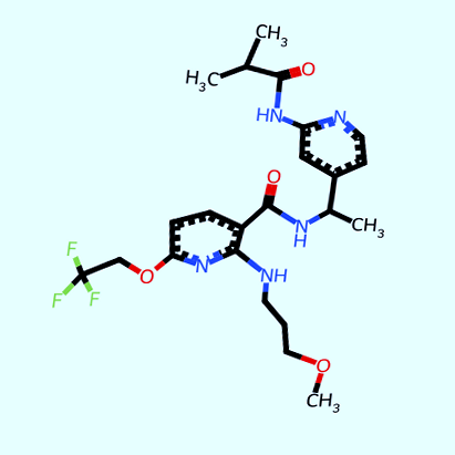 COCCCNc1nc(OCC(F)(F)F)ccc1C(=O)NC(C)c1ccnc(NC(=O)C(C)C)c1